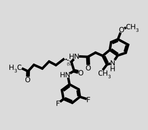 COc1ccc2[nH]c(C)c(CC(=O)N[C@@H](CCCCCC(C)=O)C(=O)Nc3cc(F)cc(F)c3)c2c1